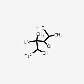 CC(C)C(O)C(C)(N)C(C)C